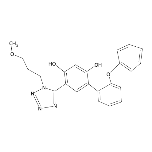 COCCCn1nnnc1-c1cc(-c2ccccc2Oc2ccccc2)c(O)cc1O